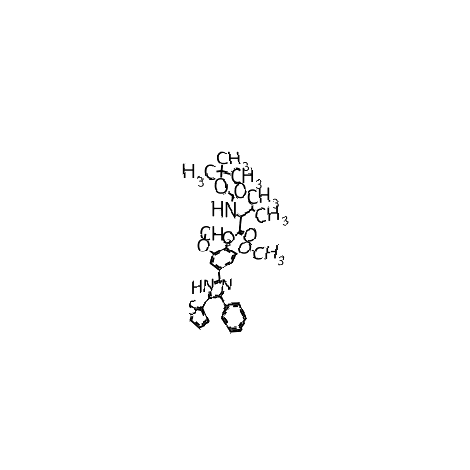 COc1cc(-c2nc(-c3ccccc3)c(-c3cccs3)[nH]2)cc(OC)c1OC(=O)[C@@H](NC(=O)OC(C)(C)C)C(C)C